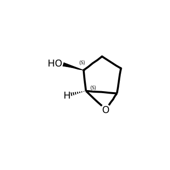 O[C@H]1CCC2O[C@H]21